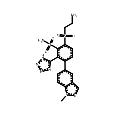 Cn1ncc2cc(-c3ccc(S(=O)(=O)CCN)c(S(N)(=O)=O)c3-c3nnn[nH]3)ccc21